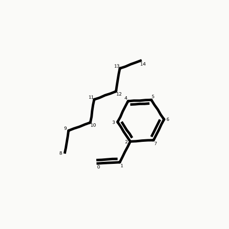 C=Cc1ccccc1.CCCCCCC